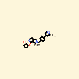 Cc1cc(-c2ccc(CN3Cc4ccnc(O[C@@H]5CCC[C@H]5O)c4C3C=O)cc2)ccn1